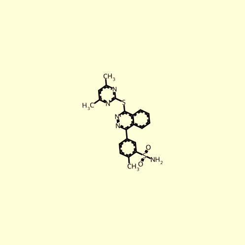 Cc1cc(C)nc(Sc2nnc(-c3ccc(C)c(S(N)(=O)=O)c3)c3ccccc23)n1